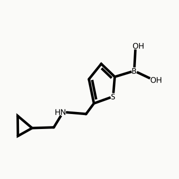 OB(O)c1ccc(CNCC2CC2)s1